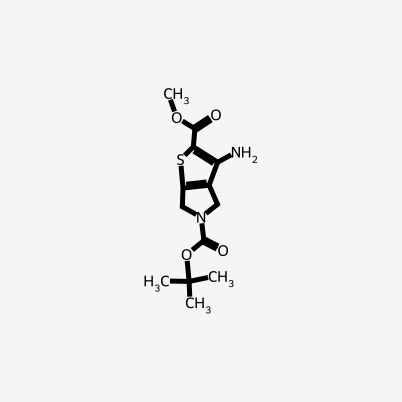 COC(=O)c1sc2c(c1N)CN(C(=O)OC(C)(C)C)C2